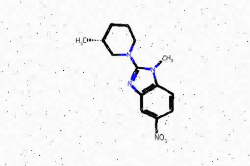 C[C@@H]1CCCN(c2nc3cc([N+](=O)[O-])ccc3n2C)C1